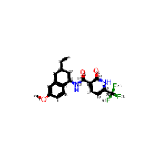 CCC1Cc2cc(OC)ccc2C(NC(=O)c2ccc(C(F)(F)F)[nH]c2=O)C1